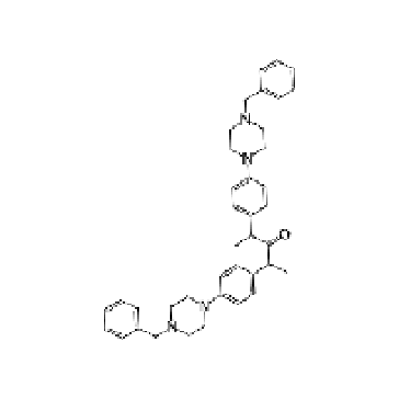 CC(C(=O)C(C)c1ccc(N2CCN(Cc3ccccc3)CC2)cc1)c1ccc(N2CCN(Cc3ccccc3)CC2)cc1